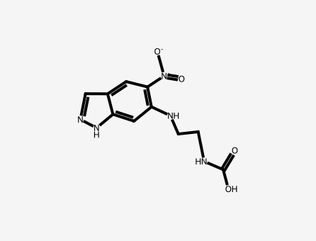 O=C(O)NCCNc1cc2[nH]ncc2cc1[N+](=O)[O-]